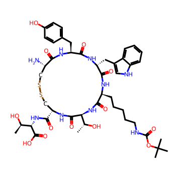 C[C@@H](O)[C@H](NC(=O)[C@@H]1CSSC[C@H](N)C(=O)N[C@@H](Cc2ccc(O)cc2)C(=O)N[C@H](Cc2c[nH]c3ccccc23)C(=O)N[C@@H](CCCCCNC(=O)OC(C)(C)C)C(=O)N[C@@H]([C@@H](C)O)C(=O)N1)C(=O)O